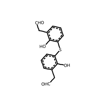 O=CCc1cccc(Sc2cccc(CC=O)c2O)c1O